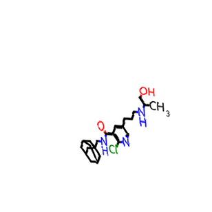 CC(CO)NCCCc1cnc(Cl)c(C(=O)NCC23CC4CC(CC(C4)C2)C3)c1